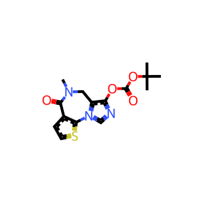 CN1Cc2c(OC(=O)OC(C)(C)C)ncn2-c2sccc2C1=O